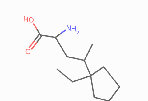 CCC1(C(C)CC(N)C(=O)O)CCCC1